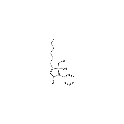 CCCCCCC1=CC(=O)N(c2ccccc2)C1(O)CBr